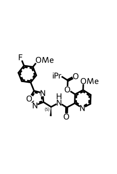 COc1cc(-c2nc([C@H](C)NC(=O)c3nccc(OC)c3OC(=O)C(C)C)no2)ccc1F